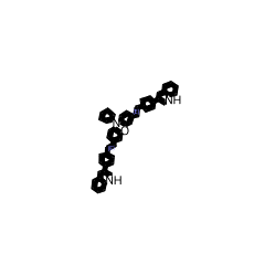 C1=CCCC(N2c3ccc(/C=C/c4ccc(C5=CNC6C=CC=CC6=C5)cc4)cc3Oc3cc(/C=C/C4C=CC(C5=CNC6CCC=CC6=C5)=CC4)ccc32)=C1